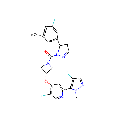 Cn1ncc(F)c1-c1cc(OC2CN(C(=O)N3N=CCC3c3cc(F)cc(C#N)c3)C2)c(F)cn1